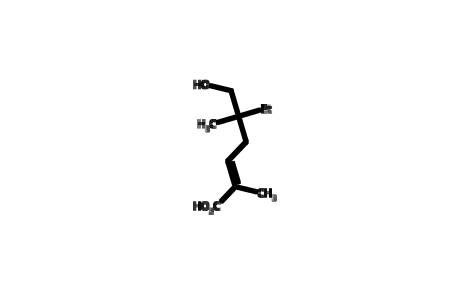 CCC(C)(CO)CC=C(C)C(=O)O